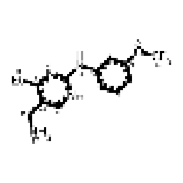 CCc1nc(Nc2cccc(OC(F)(F)F)c2)ncc1CN